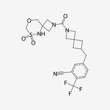 N#Cc1cc(CC2CC3(C2)CN(C(=O)N2CC4(COCS(=O)(=O)N4)C2)C3)ccc1C(F)(F)F